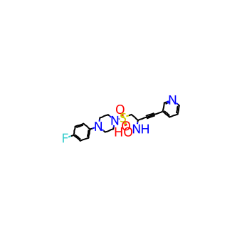 O=S(=O)(CC(C#Cc1cccnc1)NO)N1CCN(c2ccc(F)cc2)CC1